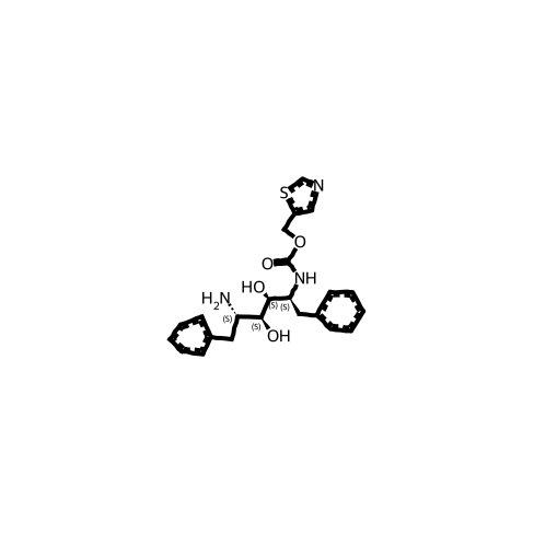 N[C@@H](Cc1ccccc1)[C@H](O)[C@@H](O)[C@H](Cc1ccccc1)NC(=O)OCc1cncs1